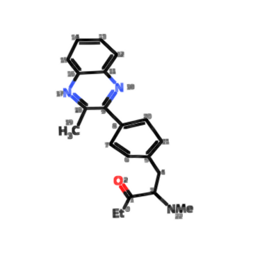 CCC(=O)C(Cc1ccc(-c2nc3ccccc3nc2C)cc1)NC